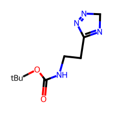 CC(C)(C)OC(=O)NCCC1=NCN=N1